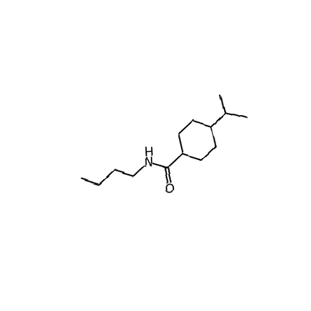 CCCCNC(=O)C1CCC(C(C)C)CC1